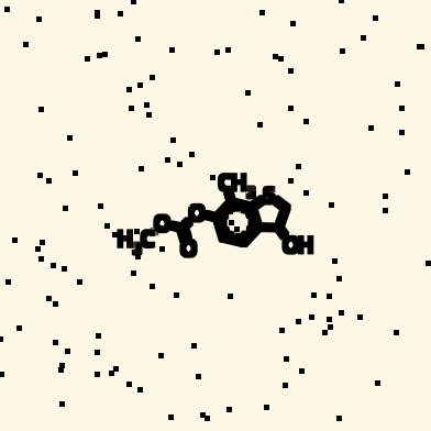 COC(=O)Oc1ccc2c(c1C)SCC2O